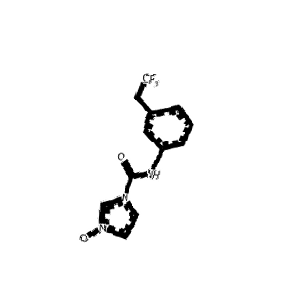 O=C(Nc1cccc(CC(F)(F)F)c1)n1cc[n+]([O-])c1